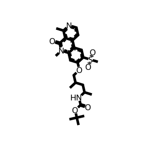 Cc1nccc2c1c(=O)n(C)c1cc(OCC(C)CC(C)NC(=O)OC(C)(C)C)c(S(C)(=O)=O)cc21